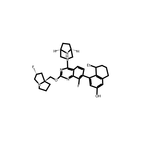 CCC1CCCc2cc(O)cc(-c3ccc4c(N5C[C@H]6CC[C@@H](C5)N6)nc(OC[C@@]56CCCN5C[C@H](F)C6)nc4c3F)c21